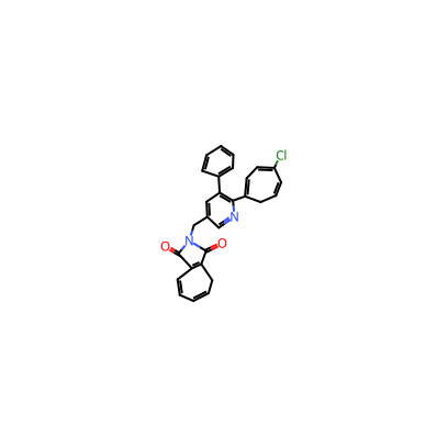 O=C1C2=C(CC=CC=C2)C(=O)N1Cc1cnc(C2=CC=C(Cl)C=CC2)c(-c2ccccc2)c1